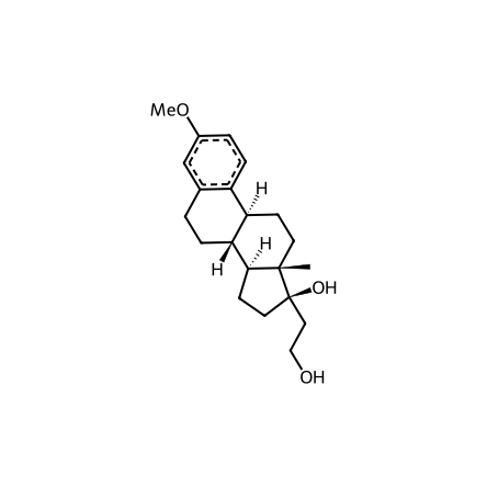 COc1ccc2c(c1)CC[C@@H]1[C@@H]2CC[C@@]2(C)[C@H]1CC[C@@]2(O)CCO